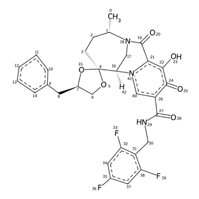 C[C@H]1CC[C@@]2(OC[C@@H](Cc3ccccc3)O2)[C@H]2CN1C(=O)c1c(O)c(=O)c(C(=O)NCc3c(F)cc(F)cc3F)cn12